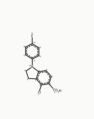 O=C(O)c1ccc2c(c1Cl)CCN2c1ccc(F)cc1